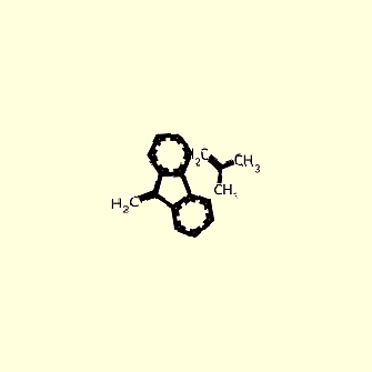 C=C(C)C.C=C1c2ccccc2-c2ccccc21